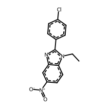 CCn1c(-c2ccc(Cl)cc2)nc2cc([N+](=O)[O-])ccc21